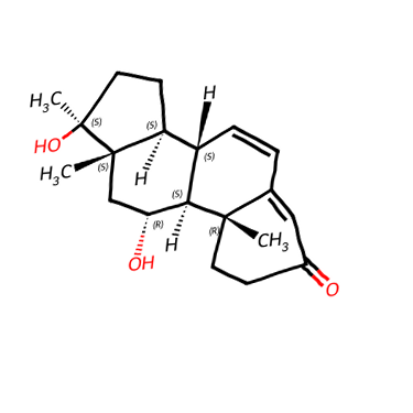 C[C@]12CCC(=O)C=C1C=C[C@@H]1[C@@H]2[C@H](O)C[C@@]2(C)[C@H]1CC[C@]2(C)O